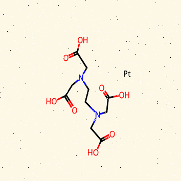 O=C(O)CN(CCN(CC(=O)O)CC(=O)O)CC(=O)O.[Pt]